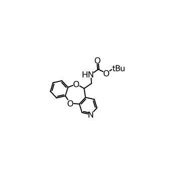 CC(C)(C)OC(=O)NCC1Oc2ccccc2Oc2cnccc21